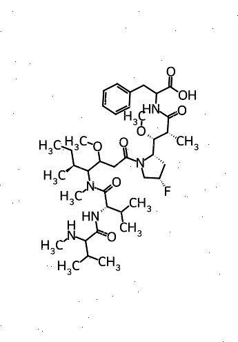 CC[C@H](C)C(C(CC(=O)N1C[C@@H](F)C[C@H]1[C@H](OC)[C@@H](C)C(=O)NC(Cc1ccccc1)C(=O)O)OC)N(C)C(=O)[C@@H](NC(=O)C(NC)C(C)C)C(C)C